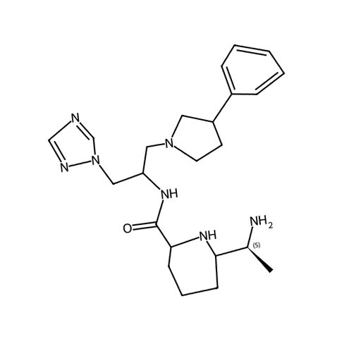 C[C@H](N)C1CCCC(C(=O)NC(CN2CCC(c3ccccc3)C2)Cn2cncn2)N1